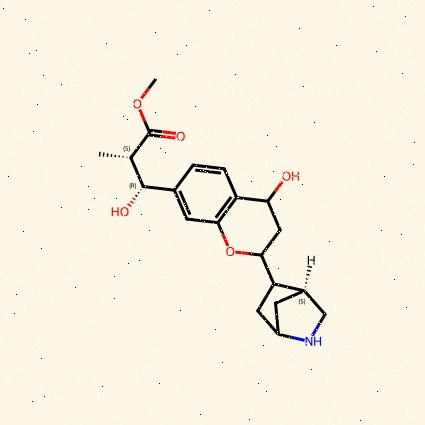 COC(=O)[C@@H](C)[C@@H](O)c1ccc2c(c1)OC(C1CC3C[C@@H]1CN3)CC2O